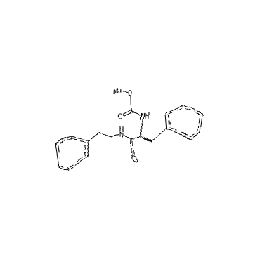 CC(C)(C)OC(=O)N[C@@H](Cc1ccccc1)C(=O)NCCc1ccccc1